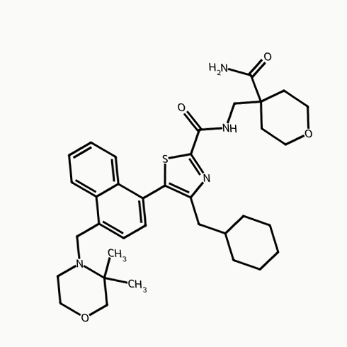 CC1(C)COCCN1Cc1ccc(-c2sc(C(=O)NCC3(C(N)=O)CCOCC3)nc2CC2CCCCC2)c2ccccc12